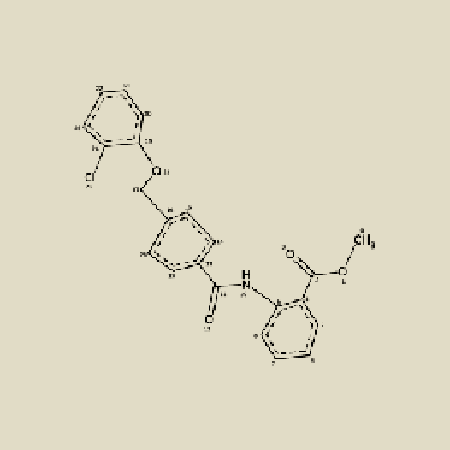 COC(=O)c1ccccc1NC(=O)c1ccc(COc2ccccc2Cl)cc1